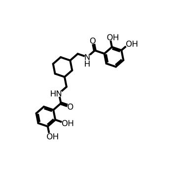 O=C(NCC1CCCC(CNC(=O)c2cccc(O)c2O)C1)c1cccc(O)c1O